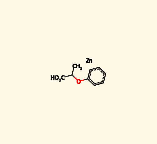 CC(Oc1ccccc1)C(=O)O.[Zn]